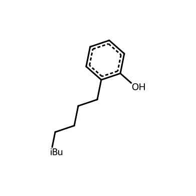 CCC(C)CCCCc1ccccc1O